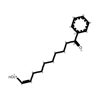 CCCCCCCC/C=C\CCCCCCCC(=O)c1ccccc1